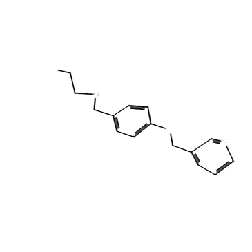 CCCNCc1ccc(OCc2cccnc2)cc1